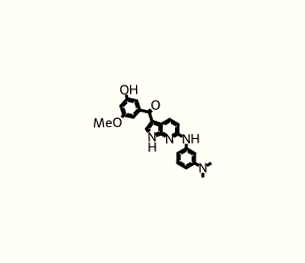 COc1cc(O)cc(C(=O)c2c[nH]c3nc(Nc4cccc(N(C)C)c4)ccc23)c1